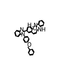 Nc1ccccc1NC(=O)/C=C\c1cccc(-c2nc3ccccc3n2-c2ccc(OCc3ccccc3)cc2)c1